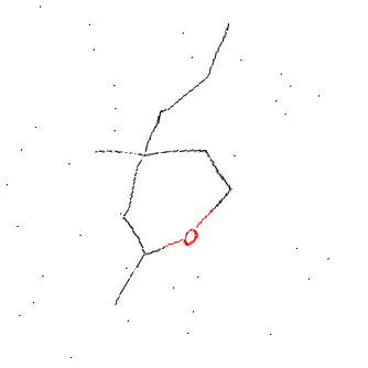 CCCC1(C)CCOC(C)C1